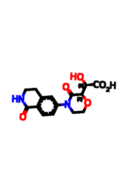 O=C1NCCc2cc(N3CCO[C@H]([C@@H](O)C(=O)O)C3=O)ccc21